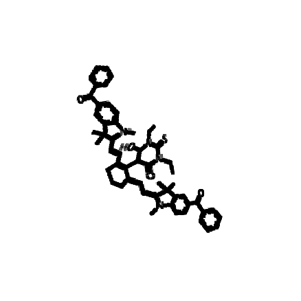 CCN1C(=O)C(C2=C(C=CC3=[N+](C)c4ccc(C(=O)c5ccccc5)cc4C3(C)C)CCCC2=CC=C2N(C)c3ccc(C(=O)c4ccccc4)cc3C2(C)C)C(O)N(CC)C1=S